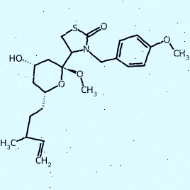 C=CC(C)CC[C@@H]1C[C@H](O)C[C@](OC)(C2CSC(=O)N2Cc2ccc(OC)cc2)O1